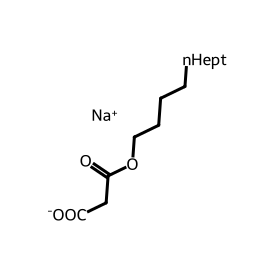 CCCCCCCCCCCOC(=O)CC(=O)[O-].[Na+]